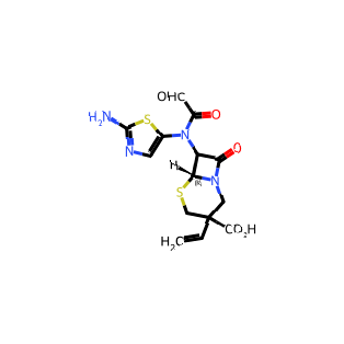 C=CC1(C(=O)O)CS[C@@H]2C(N(C(=O)C=O)c3cnc(N)s3)C(=O)N2C1